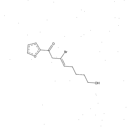 O=C(C/C(Br)=C/CCCCO)c1ccco1